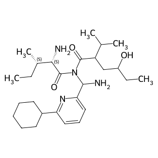 CCC(O)CC(C(=O)N(C(=O)[C@@H](N)[C@@H](C)CC)C(N)c1cccc(C2CCCCC2)n1)C(C)C